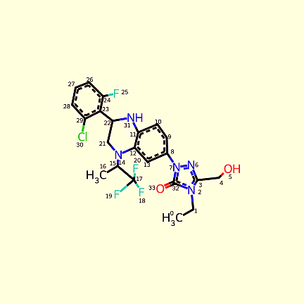 CCn1c(CO)nn(-c2ccc3c(c2)N(C(C)C(F)(F)F)CC(c2c(F)cccc2Cl)N3)c1=O